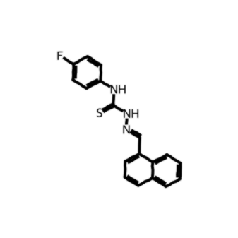 Fc1ccc(NC(=S)NN=Cc2cccc3ccccc23)cc1